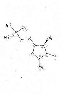 C=P(C)(C)CCC1O[C@@H](C)C(Br)[C@@H]1O